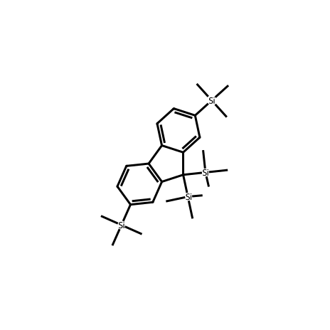 C[Si](C)(C)c1ccc2c(c1)C([Si](C)(C)C)([Si](C)(C)C)c1cc([Si](C)(C)C)ccc1-2